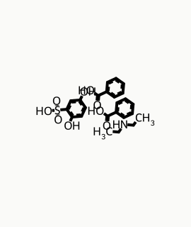 CCNCC.O=C(O)c1ccccc1.O=C(O)c1ccccc1.O=S(=O)(O)c1cc(O)ccc1O